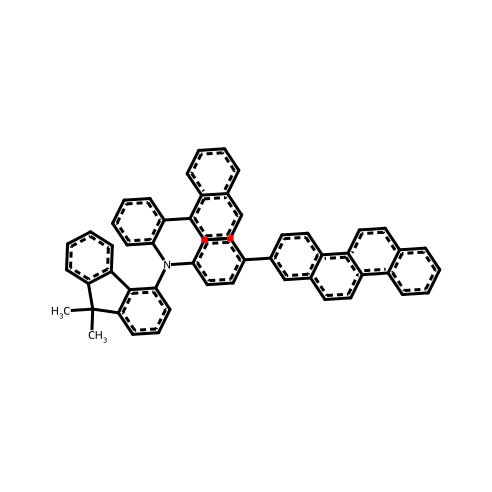 CC1(C)c2ccccc2-c2c(N(c3ccc(-c4ccc5c(ccc6c7ccccc7ccc56)c4)cc3)c3ccccc3-c3cccc4ccccc34)cccc21